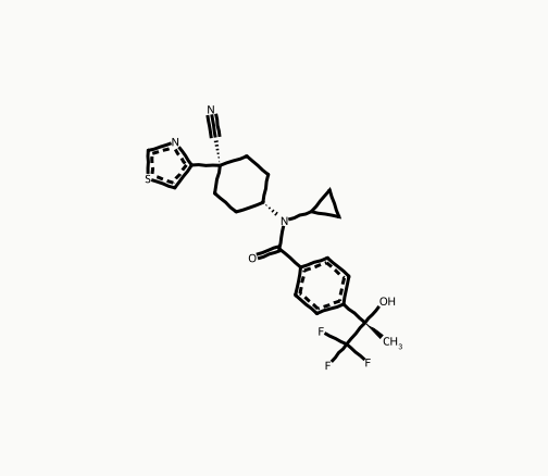 C[C@](O)(c1ccc(C(=O)N(C2CC2)[C@H]2CC[C@](C#N)(c3cscn3)CC2)cc1)C(F)(F)F